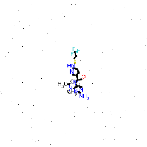 CC(C)N(C)c1nc(N)ncc1/N=C(\C=O)c1ccc(NSCCC(F)(F)F)nc1